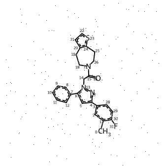 Cc1cc(-c2cc(-c3ccccc3)n(CC(=O)N3CCc4ccsc4CC3)n2)ccc1F